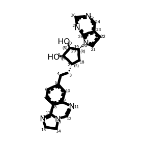 O[C@@H]1[C@@H](CCc2ccc3c(c2)N=CN2CCN=C32)C[C@@H](n2ccc3cncnc32)[C@@H]1O